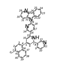 Cc1ccc(C2=CC(c3cccnc3)NC(c3ccc(-n4c5ccccc5c5ncccc54)nc3)=C2)c2ccccc12